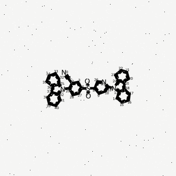 N#Cc1cc(S(=O)(=O)c2ccc(-n3c4ccccc4c4ccccc43)nc2)ccc1-n1c2ccccc2c2ccccc21